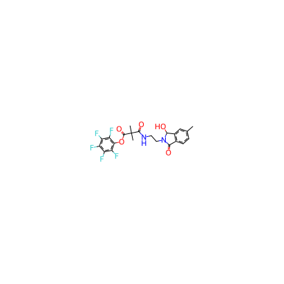 Cc1ccc2c(c1)C(O)N(CCNC(=O)C(C)(C)C(=O)Oc1c(F)c(F)c(F)c(F)c1F)C2=O